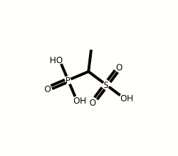 CC(P(=O)(O)O)S(=O)(=O)O